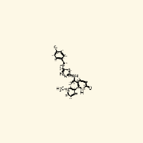 CN1C=C(c2[nH]c(=O)ccc2C(=O)Nc2nnc(OCc3ccc(Cl)cc3)s2)C=CC1